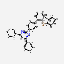 c1ccc(-c2cc(-c3ccccc3)nc(-c3ccc(-c4cccc5c4sc4ccccc45)cc3)n2)cc1